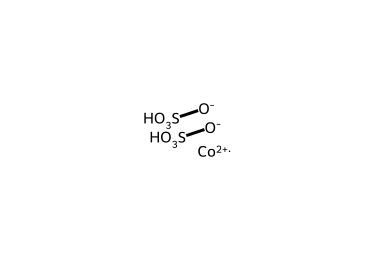 O=S(=O)([O-])O.O=S(=O)([O-])O.[Co+2]